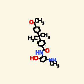 CNc1ccc(O)c(NC(=O)c2ccc(C(C)(C)c3ccc(C(C)=O)cc3)cc2)c1